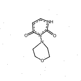 O=c1cc[nH]c(=O)n1N1CCOCC1